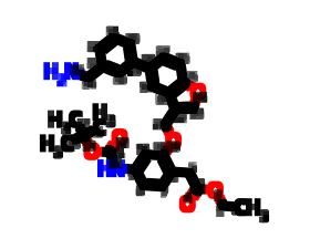 CCOC(=O)Cc1ccc(NC(=O)OC(C)(C)C)cc1OCc1coc2ccc(-c3cccc(CN)c3)cc12